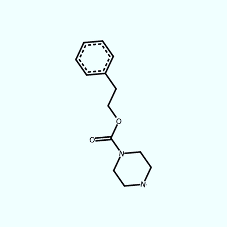 O=C(OCCc1ccccc1)N1CC[N]CC1